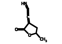 CC1CC(=C=C=N)C(=O)O1